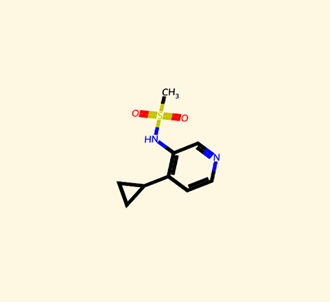 CS(=O)(=O)Nc1cnccc1C1CC1